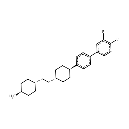 C[C@H]1CC[C@H](CC[C@H]2CC[C@H](c3ccc(-c4ccc(Cl)c(F)c4)cc3)CC2)CC1